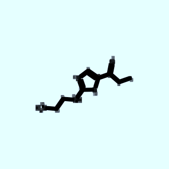 CCC(=O)c1cnc(NCCN)s1